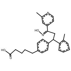 Cc1cc(C(CC(c2ccc(CCCCC(=O)O)cc2)c2ccccc2C)=NO)ccn1